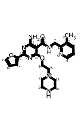 Cc1cccnc1CNC(=O)c1c(N)nc(-c2ccco2)nc1OCCN1CCNCC1